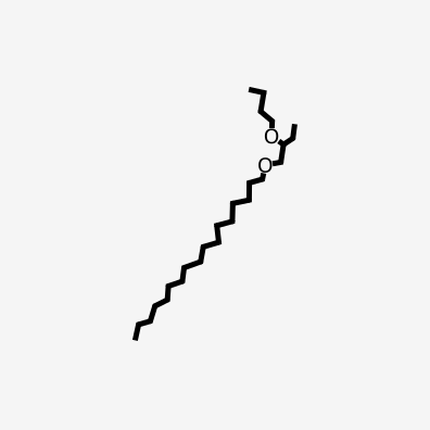 CCCCCCCCCCCCCCCCCOCC(CC)OCCCC